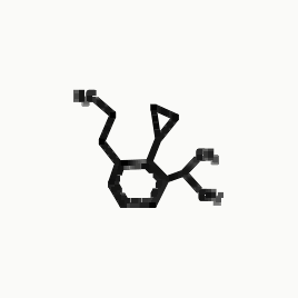 [CH2]C(C)c1cccc(CCC)c1C1CC1